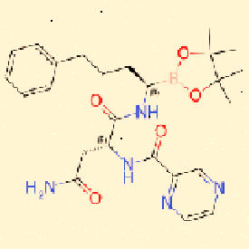 CC1(C)OB([C@H](CCCc2ccccc2)NC(=O)[C@@H](CC(N)=O)NC(=O)c2cnccn2)OC1(C)C